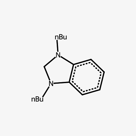 CCCCN1CN(CCCC)c2ccccc21